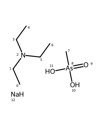 CCN(CC)CC.C[As](=O)(O)O.[NaH]